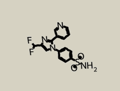 NS(=O)(=O)c1ccc(-n2cc(C(F)F)nc2-c2cccnc2)cc1